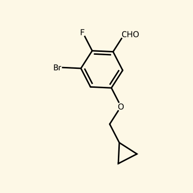 O=Cc1cc(OCC2CC2)cc(Br)c1F